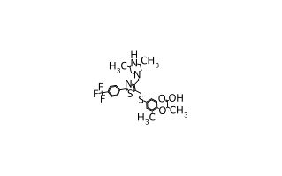 Cc1cc(SCc2sc(-c3ccc(C(F)(F)F)cc3)nc2CN2CC(C)NC(C)C2)ccc1OC(C)C(=O)O